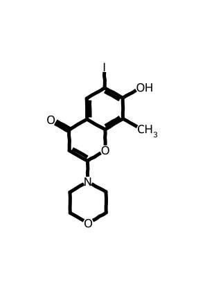 Cc1c(O)c(I)cc2c(=O)cc(N3CCOCC3)oc12